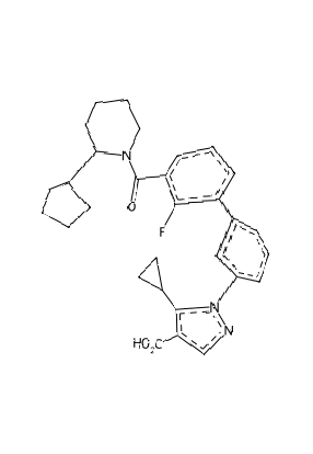 O=C(O)c1cnn(-c2cccc(-c3cccc(C(=O)N4CCCCC4C4CCCC4)c3F)c2)c1C1CC1